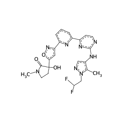 Cc1c(Nc2nccc(-c3cccc(-c4cc(C5(O)CCN(C)C5=O)on4)n3)n2)cnn1CC(F)F